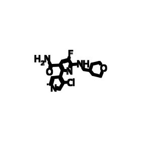 NC(=O)c1cc(F)c(NCC2CCOCC2)nc1-c1c[c]ncc1Cl